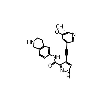 COc1cncc(C#Cc2c[nH]nc2C(=O)Nc2ccc3c(c2)CCNC3)c1